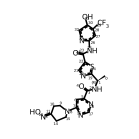 C[C@@H](NC(=O)c1cc(N2CCC(=NO)CC2)ncn1)c1ncc(C(=O)Nc2cc(C(F)(F)F)c(O)cn2)s1